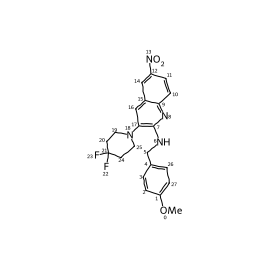 COc1ccc(CNc2nc3ccc([N+](=O)[O-])cc3cc2N2CCC(F)(F)CC2)cc1